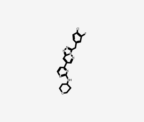 Fc1cc(Cc2nnc3cc(-c4ccnc(NC5CCOCC5)n4)cnn23)ccc1Cl